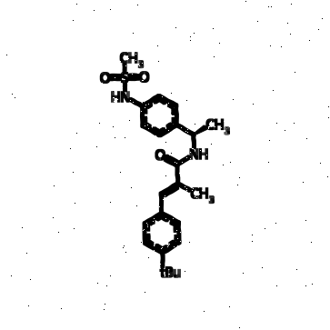 C/C(=C\c1ccc(C(C)(C)C)cc1)C(=O)N[C@H](C)c1ccc(NS(C)(=O)=O)cc1